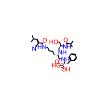 CC(C)C=C(C#N)C(=O)NCCCC[C@H](NC[C@H](NC(=O)C(C)C)[C@@H](C)O)C(=O)N[C@@H](Cc1ccccc1)B(O)O